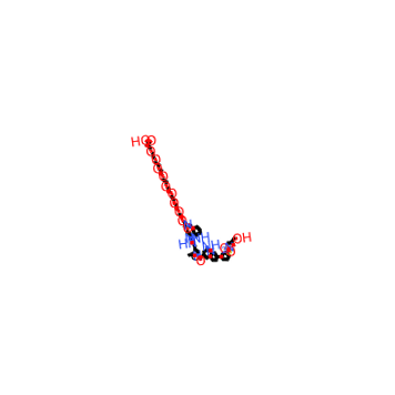 CCCN(CCCN/C(=N/CCOCCOCCOCCOCCOCCOCCOCCOCCOCCOCCC(=O)O)Nc1cccc(C#N)c1)C(=O)C1=Cc2ccc(-c3cccc(S(=O)(=O)N4CC(CO)C4)c3)cc2N=C(N)C1